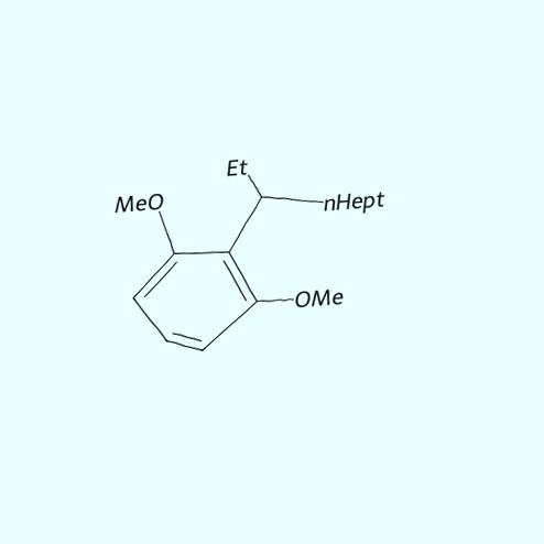 CCCCCCCC(CC)c1c(OC)cccc1OC